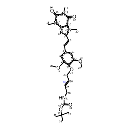 COc1cc(C=Cc2nc3c(c(=O)n(C)c(=O)n3C)n2C)cc(OC)c1OC/C=C/CNC(=O)OC(C)(C)C